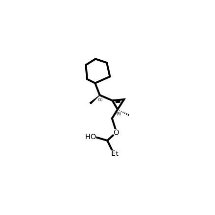 CCC(O)OC[C@]1(C)C=C1[C@@H](C)C1CCCCC1